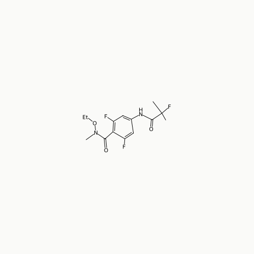 CCON(C)C(=O)c1c(F)cc(NC(=O)C(C)(C)F)cc1F